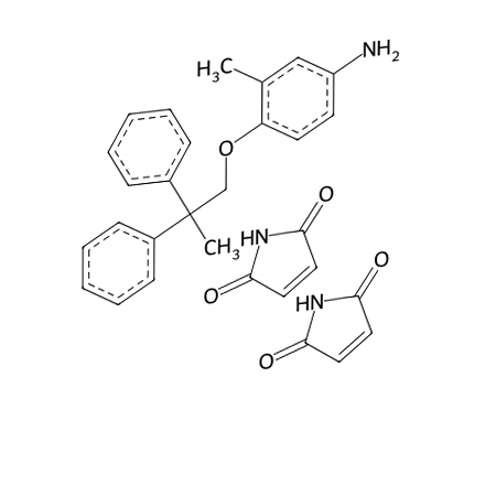 Cc1cc(N)ccc1OCC(C)(c1ccccc1)c1ccccc1.O=C1C=CC(=O)N1.O=C1C=CC(=O)N1